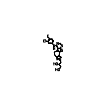 OC[C@@H](O)Cn1cc2c(n1)CCc1c-2sc2ncnc(Nc3ccc(F)c(Cl)c3)c12